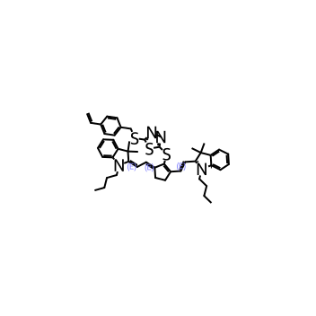 C=Cc1ccc(CSc2nnc(SC3=C(/C=C/C4=[N+](CCCC)c5ccccc5C4(C)C)CC/C3=C\C=C3\N(CCCC)c4ccccc4C3(C)C)s2)cc1